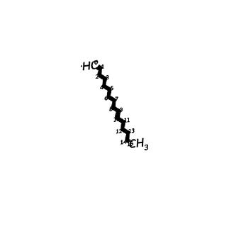 [CH]=CCCCCCCCC=CCCCCC